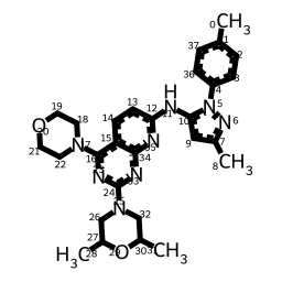 Cc1ccc(-n2nc(C)cc2Nc2ccc3c(N4CCOCC4)nc(N4CC(C)OC(C)C4)nc3n2)cc1